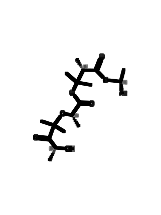 CC(=O)[C@H](C)OC(=O)[C@@H](C)C(C)(C)OC(=O)[C@H](C)OC(C)(C)C(=O)[C@@H](C)O